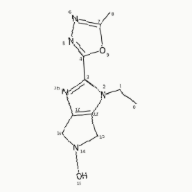 CCn1c(-c2nnc(C)o2)nc2c1CN(O)C2